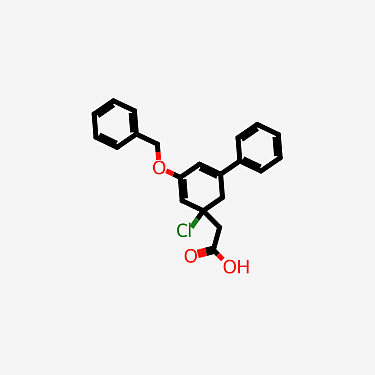 O=C(O)CC1(Cl)C=C(OCc2ccccc2)C=C(c2ccccc2)C1